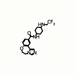 O=C(NC1CCC(NCC(F)(F)F)CC1)c1ccc2c(c1)-c1cncn1CCO2